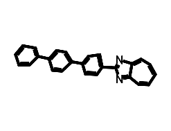 c1ccc(-c2ccc(-c3ccc(-c4nc5cccccc-5n4)cc3)cc2)cc1